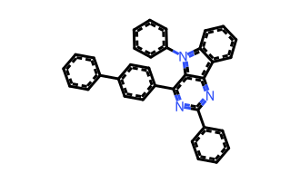 c1ccc(-c2ccc(-c3nc(-c4ccccc4)nc4c5ccccc5n(-c5ccccc5)c34)cc2)cc1